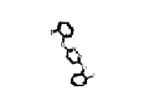 Fc1ccccc1Oc1ccc(Oc2ccccc2F)nn1